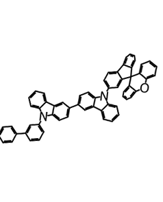 c1ccc(-c2cccc(-n3c4ccccc4c4cc(-c5ccc6c(c5)c5ccccc5n6-c5ccc6c(c5)C5(c7ccccc7Oc7ccccc75)c5ccccc5-6)ccc43)c2)cc1